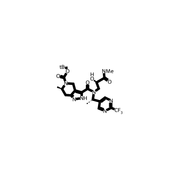 CNC(=O)[C@H](O)CN(C(=O)c1[nH]nc2c1CN(C(=O)OC(C)(C)C)[C@H](C)C2)[C@@H](C)c1cnc(C(F)(F)F)nc1